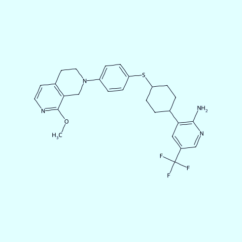 COc1nccc2c1CN(c1ccc(SC3CCC(c4cc(C(F)(F)F)cnc4N)CC3)cc1)CC2